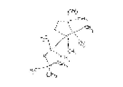 CC1(C)CCC(C)([Si](C)(C)O[Si](C)(C)C)C1(C)C